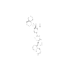 Cc1cc(-c2ccc(Nc3cccc4ccccc34)c(C)c2)ccc1Nc1cccc2ccccc12